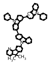 CC1(C)c2ccc(-n3c4ccccc4c4cc(-c5ccc6c(c5)c5cc(-c7ccc8c(c7)c7ccccc7n8-c7ccccc7)ccc5n6-c5ccccc5)ccc43)cc2-c2ncccc21